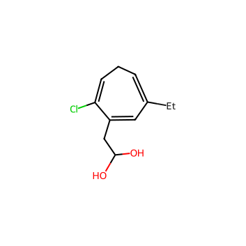 CCC1=CCC=C(Cl)C(CC(O)O)=C1